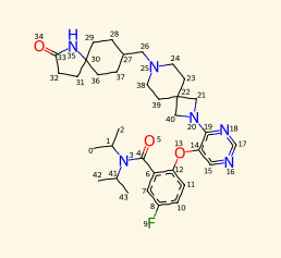 CC(C)N(C(=O)c1cc(F)ccc1Oc1cncnc1N1CC2(CCN(CC3CCC4(CCC(=O)N4)CC3)CC2)C1)C(C)C